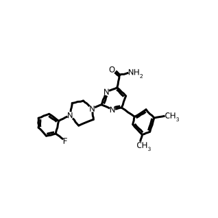 Cc1cc(C)cc(-c2cc(C(N)=O)nc(N3CCN(c4ccccc4F)CC3)n2)c1